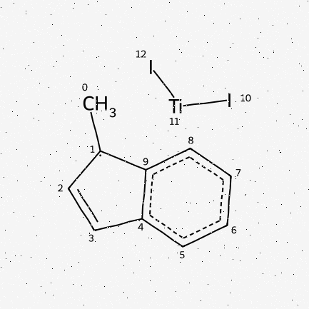 C[C]1C=Cc2ccccc21.[I][Ti][I]